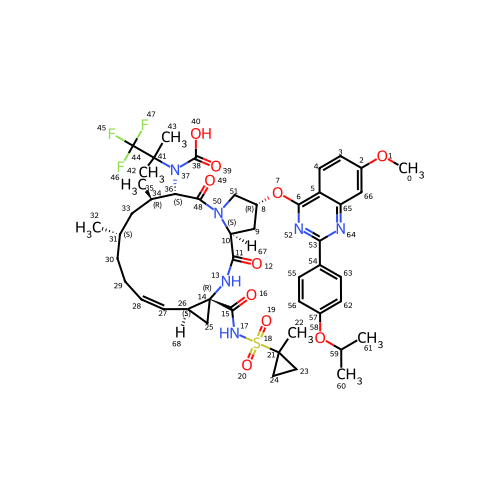 COc1ccc2c(O[C@@H]3C[C@H]4C(=O)N[C@]5(C(=O)NS(=O)(=O)C6(C)CC6)C[C@H]5C=CCC[C@H](C)C[C@@H](C)[C@H](N(C(=O)O)C(C)(C)C(F)(F)F)C(=O)N4C3)nc(-c3ccc(OC(C)C)cc3)nc2c1